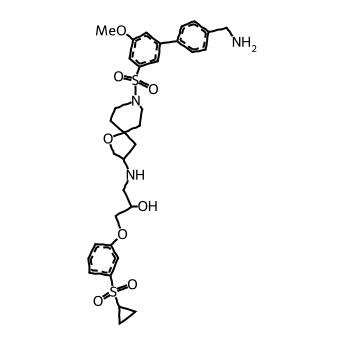 COc1cc(-c2ccc(CN)cc2)cc(S(=O)(=O)N2CCC3(CC2)CC(NCC(O)COc2cccc(S(=O)(=O)C4CC4)c2)CO3)c1